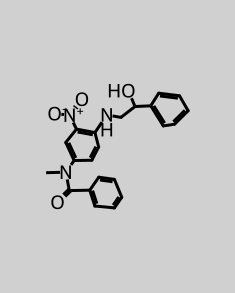 CN(C(=O)c1ccccc1)c1ccc(NCC(O)c2ccccc2)c([N+](=O)[O-])c1